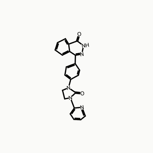 O=C1N(c2ccc(-c3n[nH]c(=O)c4ccccc34)cc2)CCN1c1ccccn1